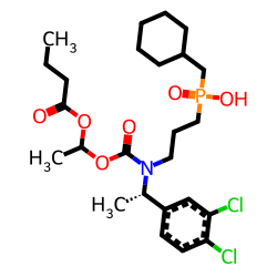 CCCC(=O)OC(C)OC(=O)N(CCCP(=O)(O)CC1CCCCC1)[C@@H](C)c1ccc(Cl)c(Cl)c1